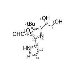 CC(C)(C)OC=O.OCC(O)c1csc(-c2ccc[nH]2)n1